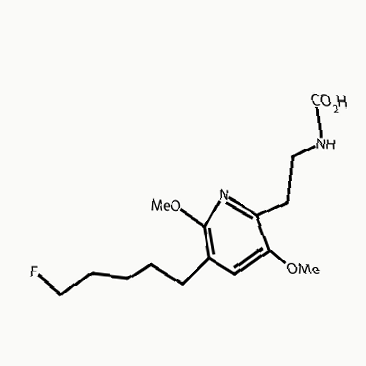 COc1cc(CCCCCF)c(OC)nc1CCNC(=O)O